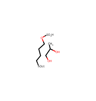 CC(O)CO.CCCCCCCCCCCCOS(=O)(=O)O